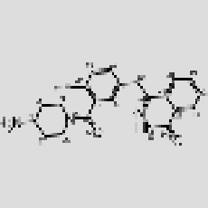 NC1CCN(C(=O)c2cc(Cc3n[nH]c(=O)c4ccccc34)ccc2F)CC1